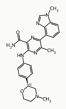 Cc1nc(Nc2ccc([C@H]3CN(C)CCO3)cc2)c(C(N)=O)nc1-c1cccc2c1ncn2C